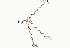 C=C[Si](OCCCCCCCCCC)(OCCCCCCCCCC)OCCCCCCCCCC